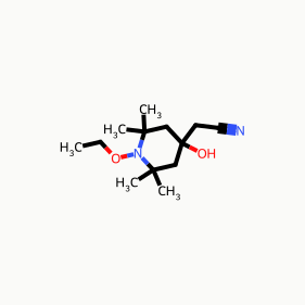 CCON1C(C)(C)CC(O)(CC#N)CC1(C)C